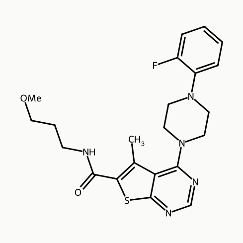 COCCCNC(=O)c1sc2ncnc(N3CCN(c4ccccc4F)CC3)c2c1C